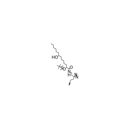 C#CCCC1(CCNC(=O)C(CCCCCC(O)CCCCCC)O[Si](C)(C)C(C)(C)C)N=N1